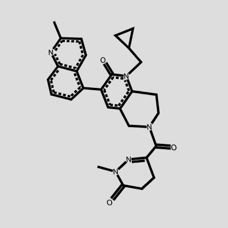 Cc1ccc2c(-c3cc4c(n(CC5CC5)c3=O)CCN(C(=O)C3=NN(C)C(=O)CC3)C4)cccc2n1